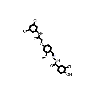 COc1cc(OCC(=O)Nc2cc(Cl)cc(Cl)c2)ccc1/C=N/NC(=O)c1ccc(O)c(Cl)c1